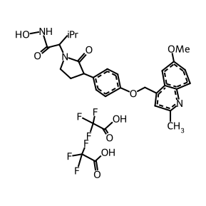 COc1ccc2nc(C)cc(COc3ccc(C4CCN(C(C(=O)NO)C(C)C)C4=O)cc3)c2c1.O=C(O)C(F)(F)F.O=C(O)C(F)(F)F